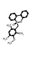 COc1c(C)cc(C)c(CP2(=O)Oc3ccccc3-c3ccccc32)c1C